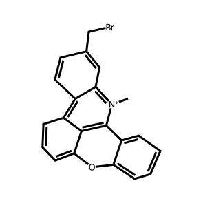 C[n+]1c2c3c(cccc3c3ccc(CBr)cc31)Oc1ccccc1-2